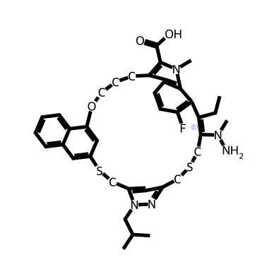 CC/C1=C(\N(C)N)CSCc2cc(n(CC(C)C)n2)CSc2cc(c3ccccc3c2)OCCCc2c(C(=O)O)n(C)c3c1c(F)ccc23